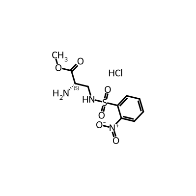 COC(=O)[C@@H](N)CNS(=O)(=O)c1ccccc1[N+](=O)[O-].Cl